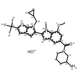 COc1cc(C(=O)N2CCCC(N)C2)cc2nc(-c3cc4cc(C(F)(F)F)oc4n3CC3CC3)n(C)c12.Cl